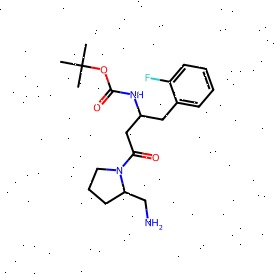 CC(C)(C)OC(=O)NC(CC(=O)N1CCCC1CN)Cc1ccccc1F